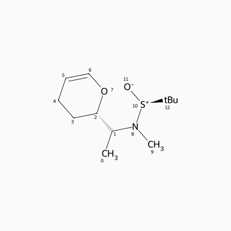 CC([C@@H]1CCC=CO1)N(C)[S@@+]([O-])C(C)(C)C